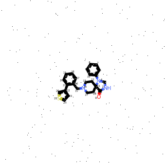 O=C1NCN(c2ccccc2)C12CCN(Cc1ccccc1-c1ccsc1)CC2